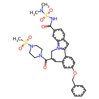 CN(C)S(=O)(=O)NC(=O)c1ccc2cc3n(c2c1)CC(C(=O)N1CCN(S(C)(=O)=O)CC1)=Cc1cc(OCc2ccccc2)ccc1-3